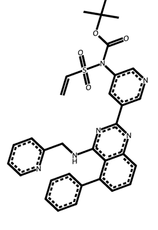 C=CS(=O)(=O)N(C(=O)OC(C)(C)C)c1cncc(-c2nc(NCc3ccccn3)c3c(-c4ccccc4)cccc3n2)c1